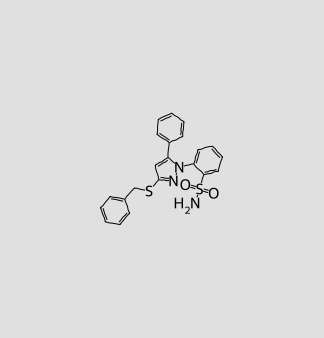 NS(=O)(=O)c1ccccc1-n1nc(SCc2ccccc2)cc1-c1ccccc1